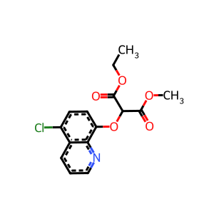 CCOC(=O)C(Oc1ccc(Cl)c2cccnc12)C(=O)OC